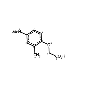 CNc1ccc(OCC(=O)O)c(C)c1